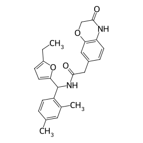 CCc1ccc(C(NC(=O)Cc2ccc3c(c2)OCC(=O)N3)c2ccc(C)cc2C)o1